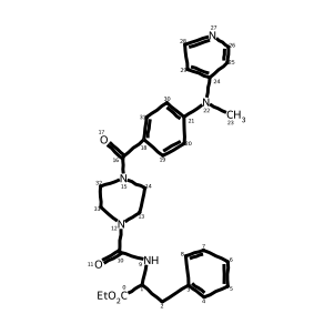 CCOC(=O)C(Cc1ccccc1)NC(=O)N1CCN(C(=O)c2ccc(N(C)c3ccncc3)cc2)CC1